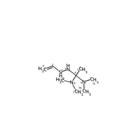 C=C[SiH2]NC(C)(N(C)C)N(C)C